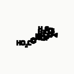 CC1(C)CCSc2c(C3CC3)cc(CN3CCC4(CC3)CC(C3C=CC(C(=O)O)=CC3)=NO4)cc21